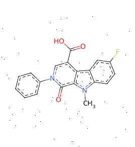 Cn1c2ccc(F)cc2c2c(C(=O)O)cn(-c3ccccc3)c(=O)c21